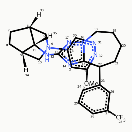 COc1cc(N2C[C@H]3CC[C@@H](C2)[C@H]3Nc2nc3n(n2)CCCCC3c2cccc(C(F)(F)F)c2)cnn1